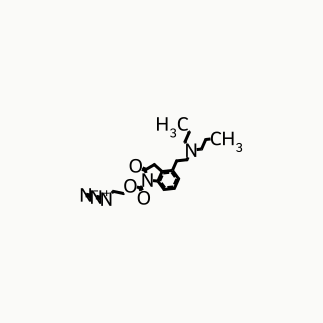 CCCN(CCC)CCc1cccc2c1CC(=O)N2C(=O)OCCN=[N+]=[N-]